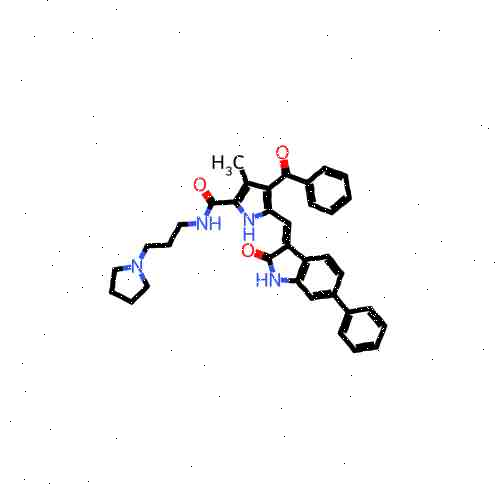 Cc1c(C(=O)NCCCN2CCCC2)[nH]c(C=C2C(=O)Nc3cc(-c4ccccc4)ccc32)c1C(=O)c1ccccc1